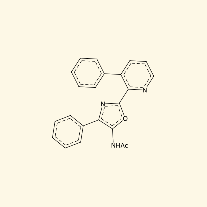 CC(=O)Nc1oc(-c2ncccc2-c2ccccc2)nc1-c1ccccc1